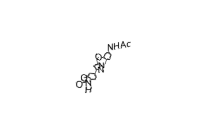 CC(=O)Nc1ccc2c(c1)OCc1cc(-c3ccc4[nH]c(=O)oc4c3)nn1C2